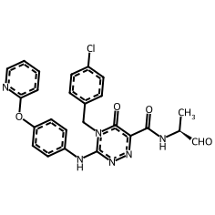 C[C@@H](C=O)NC(=O)c1nnc(Nc2ccc(Oc3ccccn3)cc2)n(Cc2ccc(Cl)cc2)c1=O